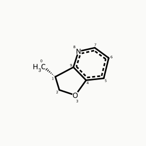 C[C@H]1COc2cccnc21